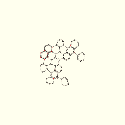 c1ccc(-c2cccc(-c3ccccc3)c2N2c3cc(N(c4ccccc4)c4ccccc4)ccc3B3c4ccc(N(c5ccccc5)c5ccccc5)cc4N(c4c(-c5ccccc5)cccc4-c4ccccc4)c4c5c6c(c2c43)CCCN6CCC5)cc1